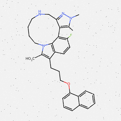 Cc1c2c(nn1C)CNCCCCn1c(C(=O)O)c(CCCOc3cccc4ccccc34)c3ccc(F)c-2c31